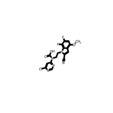 COc1cc(F)c(F)c2c1cc(C#N)n2CCN(C(=O)O)c1cc(Cl)ncn1